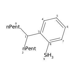 CCCCCC(CCCCC)c1ccccc1[SiH3]